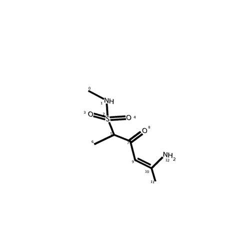 CNS(=O)(=O)C(C)C(=O)C=C(C)N